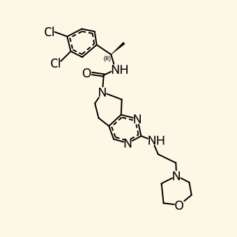 C[C@@H](NC(=O)N1CCc2cnc(NCCN3CCOCC3)nc2C1)c1ccc(Cl)c(Cl)c1